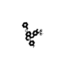 Cc1ccc(CC2c3ccc(OCc4ccccc4)cc3CCN2c2ccc(F)cc2)cc1[N+](=O)[O-]